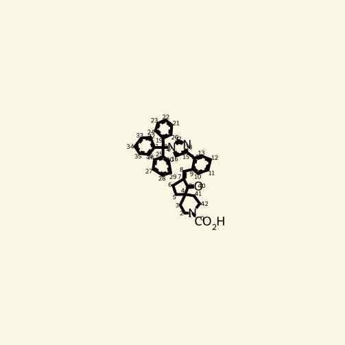 O=C(O)N1CCC2(CCC(=Cc3ccccc3-c3cn(C(c4ccccc4)(c4ccccc4)c4ccccc4)cn3)C2=O)CC1